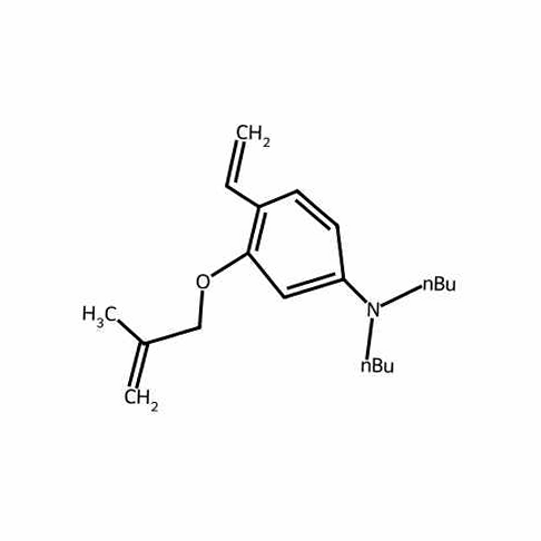 C=Cc1ccc(N(CCCC)CCCC)cc1OCC(=C)C